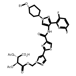 CCO[C@H]1CC[C@H](n2cc(NC(=O)c3csc(-c4cnn(COC(=O)[C@@H](OC(C)=O)[C@H](OC(C)=O)C(=O)O)c4)n3)c(-c3nc(F)ccc3F)n2)CC1